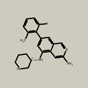 Cc1cccc(F)c1-c1cc(N[C@H]2CCCNC2)c2cc(N)ncc2c1